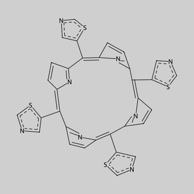 C1=CC2=C(c3cncs3)C3=NC(=C(c4cncs4)C4=NC(=C(c5cncs5)C5=NC(=C(c6cncs6)C1=N2)C=C5)C=C4)C=C3